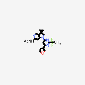 CC(=O)Nc1cc2c(cn1)C1(CC1)CN2c1cc(C2=COCC2)nc(C(C)(F)F)n1